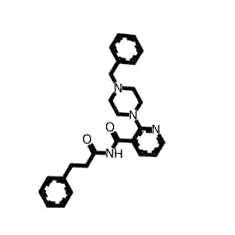 O=C(CCc1ccccc1)NC(=O)c1cccnc1N1CCN(Cc2ccccc2)CC1